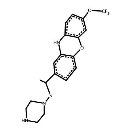 CC(SN1CCNCC1)c1ccc2c(c1)Nc1ccc(OC(F)(F)F)cc1O2